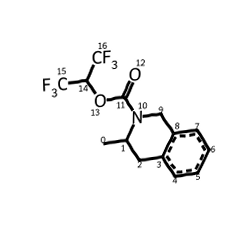 CC1Cc2ccccc2CN1C(=O)OC(C(F)(F)F)C(F)(F)F